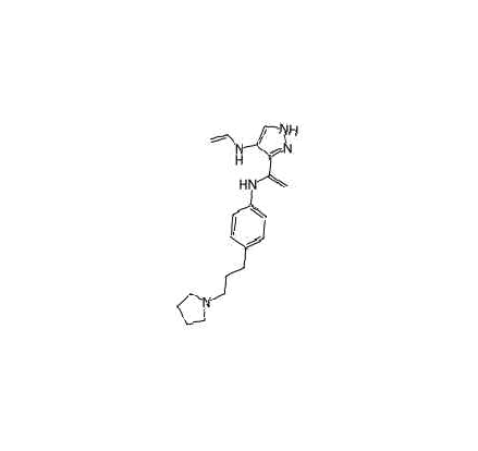 C=CNc1c[nH]nc1C(=C)Nc1ccc(CCCN2CCCC2)cc1